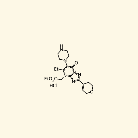 CCOC(=O)Cn1c(CC)c(N2CCNCC2)c(=O)n2nc(C3=CCOCC3)nc12.Cl